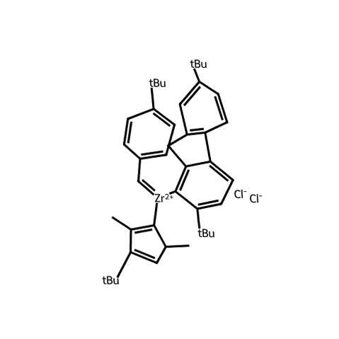 CC1=[C](/[Zr+2](=[CH]/c2ccc(C(C)(C)C)cc2)[c]2c(C(C)(C)C)ccc3c2Cc2cc(C(C)(C)C)ccc2-3)C(C)C=C1C(C)(C)C.[Cl-].[Cl-]